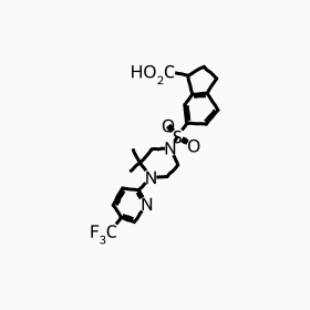 CC1(C)CN(S(=O)(=O)c2ccc3c(c2)C(C(=O)O)CC3)CCN1c1ccc(C(F)(F)F)cn1